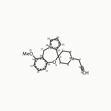 C#CCN1CCC2(CC1)Oc1cccc(OC)c1Cn1cccc12